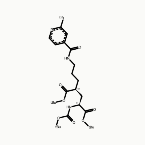 CC(C)(C)OC(=O)N[C@@H](C[C@H](CCCNC(=O)c1ccnc([125I])c1)C(=O)OC(C)(C)C)C(=O)OC(C)(C)C